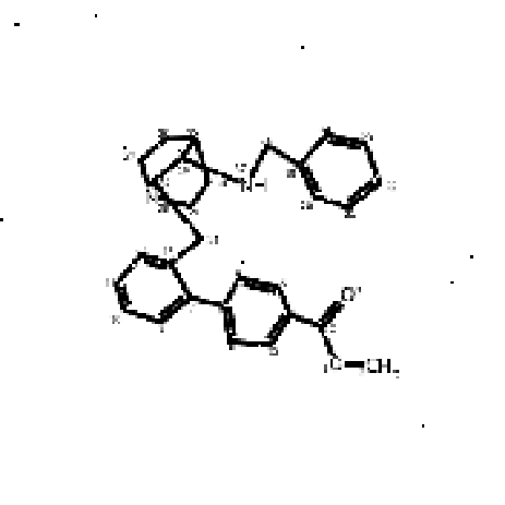 COC(=O)c1ccc(-c2ccccc2CC2C(NCc3ccccc3)C3CCN2CC3)cc1